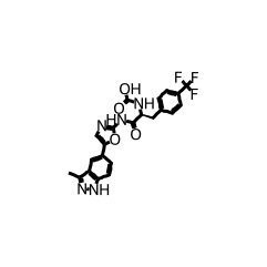 Cc1n[nH]c2ccc(-c3cnc(NC(=O)[C@H](Cc4ccc(C(F)(F)F)cc4)NC(=O)O)o3)cc12